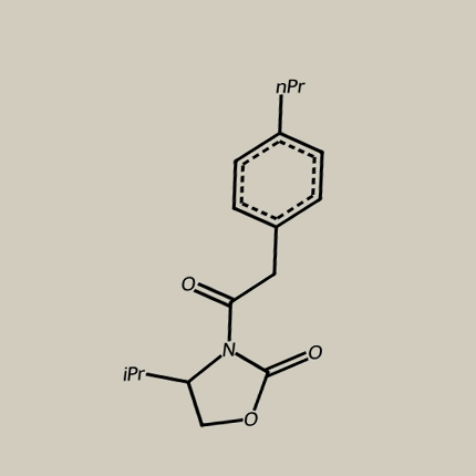 CCCc1ccc(CC(=O)N2C(=O)OCC2C(C)C)cc1